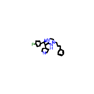 Fc1ccc(-c2nn3c(c2-c2ccncc2)NN(CC=Cc2ccccc2)CC3)cc1